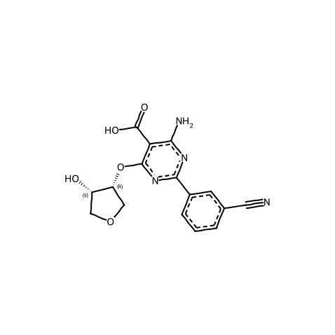 N#Cc1cccc(-c2nc(N)c(C(=O)O)c(O[C@@H]3COC[C@@H]3O)n2)c1